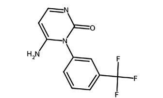 Nc1ccnc(=O)n1-c1cccc(C(F)(F)F)c1